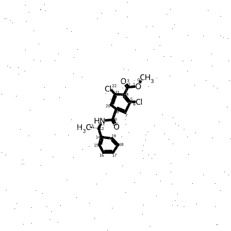 COC(=O)c1c(Cl)cc(C(=O)N[C@@H](C)c2ccccc2)cc1Cl